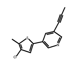 CC#Cc1cncc(-c2cc(Cl)c(C)s2)c1